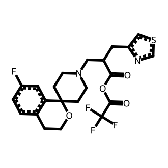 O=C(OC(=O)C(F)(F)F)C(Cc1cscn1)CN1CCC2(CC1)OCCc1ccc(F)cc12